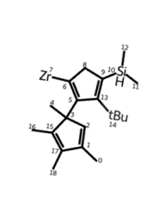 CC1=CC(C)(C2=[C]([Zr])CC([SiH](C)C)=C2C(C)(C)C)C(C)=C1C